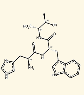 C[C@@H](O)[C@H](NC(=O)[C@H](Cc1c[nH]c2ccccc12)NC(=O)[C@@H](N)Cc1c[nH]cn1)C(=O)O